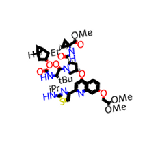 CC[C@@H]1C[C@]1(NC(=O)[C@@H]1C[C@@H](Oc2cc(-c3csc(NC(C)C)n3)nc3cc(OCC(OC)OC)ccc23)CN1C(=O)C(NC(=O)OC1CC2C[C@H]2C1)C(C)(C)C)C(=O)OC